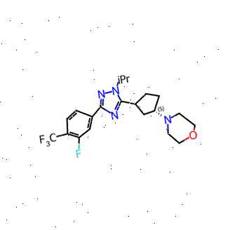 CC(C)n1nc(-c2ccc(C(F)(F)F)c(F)c2)nc1C1CC[C@H](N2CCOCC2)C1